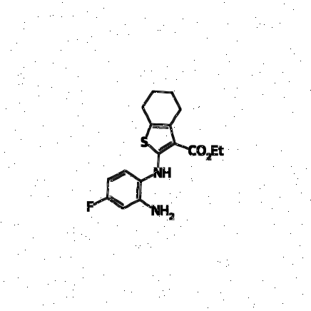 CCOC(=O)c1c(Nc2ccc(F)cc2N)sc2c1CCCC2